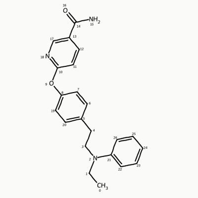 CCN(CCc1ccc(Oc2ccc(C(N)=O)cn2)cc1)c1ccccc1